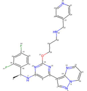 C[C@H](Nc1cc(-c2cnn3cccnc23)nc(OCCCNCc2ccncc2)n1)c1ccc(F)cc1F